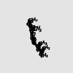 C=CC(=O)Oc1ccc(C(=O)Oc2ccc(C(=O)O[C@@H]3COC4C(OC(=O)c5ccc(OC(=O)c6ccc(OC(=O)C=C)c(OC)c6)c(OC)c5)COC43)cc2OC)cc1